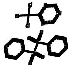 ClC(Cl)(Cl)c1ncncn1.O=S(=O)(c1ccccc1)S(=O)(=O)c1ccccc1